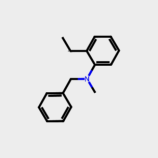 C[CH]c1ccccc1N(C)Cc1ccccc1